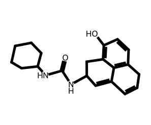 O=C(NC1C=C2C=CCc3ccc(O)c(c32)C1)NC1CCCCC1